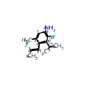 C/C(F)=C/c1c(C)cc(N)c(F)c1C(C)C